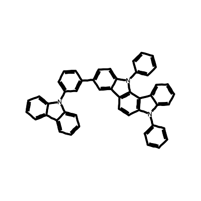 c1ccc(-n2c3ccccc3c3c2ccc2c4cc(-c5cccc(-n6c7ccccc7c7ccccc76)c5)ccc4n(-c4ccccc4)c23)cc1